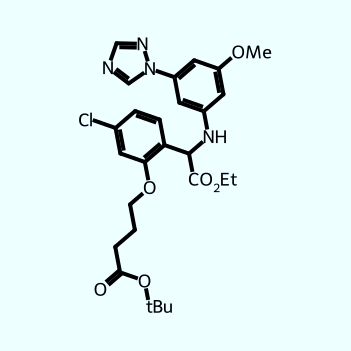 CCOC(=O)C(Nc1cc(OC)cc(-n2cncn2)c1)c1ccc(Cl)cc1OCCCC(=O)OC(C)(C)C